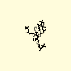 CC(CCOCC(=O)[C@H](OCCC(C)CC(C)(C)C)[C@@H](OCCC(C)CC(C)(C)C)[C@@H](CO)OCCC(C)CC(C)(C)C)CC(C)(C)C